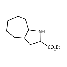 CCOC(=O)C1CC2CCCCCC2N1